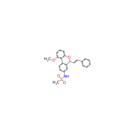 COc1cccc2c1-c1ccc(NS(C)(=O)=O)cc1C(/C=C/c1ccccc1)O2